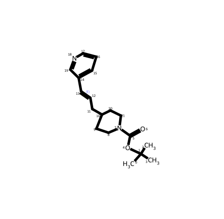 CC(C)(C)OC(=O)N1CCC(C/C=C/c2cccnc2)CC1